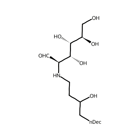 CCCCCCCCCCCC(O)CCN[C@@H](C=O)[C@@H](O)[C@H](O)[C@H](O)CO